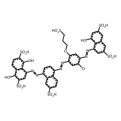 O=S(=O)(O)CCCOc1cc(N=Nc2cc(S(=O)(=O)O)cc3cc(S(=O)(=O)O)cc(O)c23)c(Cl)cc1N=Nc1ccc(N=Nc2cc(S(=O)(=O)O)c(O)c3ccc(S(=O)(=O)O)c(O)c23)c2cc(S(=O)(=O)O)ccc12